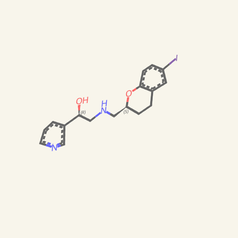 O[C@@H](CNC[C@@H]1CCc2cc(I)ccc2O1)c1cccnc1